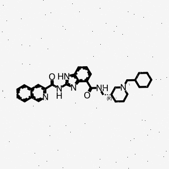 O=C(Nc1nc2c(C(=O)NC[C@H]3CCCN(CC4CCCCC4)C3)cccc2[nH]1)c1cc2ccccc2cn1